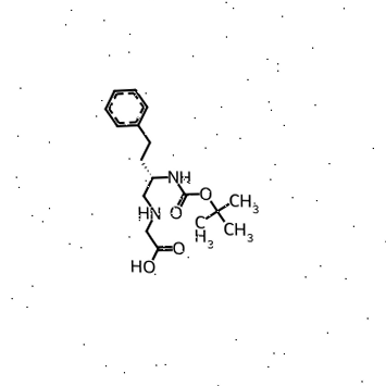 CC(C)(C)OC(=O)N[C@@H](CCc1ccccc1)CNCC(=O)O